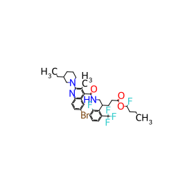 CCCC(F)OC(=O)CCC(CNC(=O)c1c(C)c(N2CCCC(CC)C2)nc2ccc(Br)cc12)c1c(F)cccc1C(F)(F)F